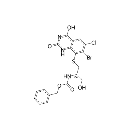 O=C(N[C@@H](CO)CSc1c(Br)c(Cl)cc2c(O)nc(=O)[nH]c12)OCc1ccccc1